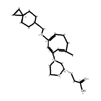 C\C1=C/C(N2CCO[C@@H](CCC(=O)O)C2)=C\C(OCC2CCC3(CC2)CC3)=C/CC1